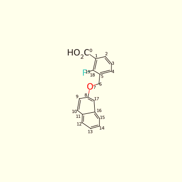 O=C(O)c1cccc(COc2ccc3ccccc3c2)c1F